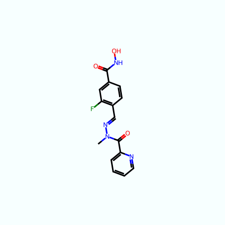 CN(/N=C/c1ccc(C(=O)NO)cc1F)C(=O)c1ccccn1